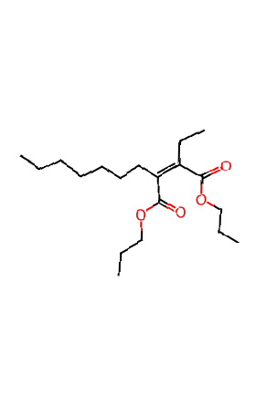 CCCCCCC/C(C(=O)OCCC)=C(\CC)C(=O)OCCC